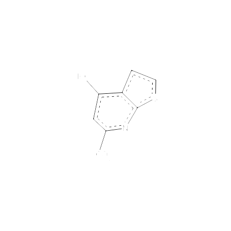 O=C(O)c1cc(O)c2ccsc2n1